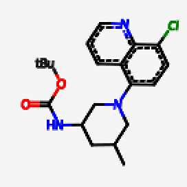 CC1CC(NC(=O)OC(C)(C)C)CN(c2ccc(Cl)c3ncccc23)C1